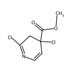 COC(=O)C1(Cl)C=CN=C(Cl)C1